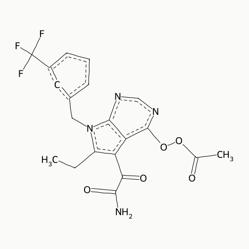 CCc1c(C(=O)C(N)=O)c2c(OOC(C)=O)ncnc2n1Cc1cccc(C(F)(F)F)c1